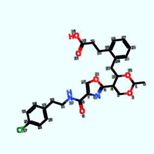 CC1OCC(c2nc(C(=O)NCCc3ccc(Cl)cc3)co2)C(Cc2ccccc2CCC(=O)O)O1